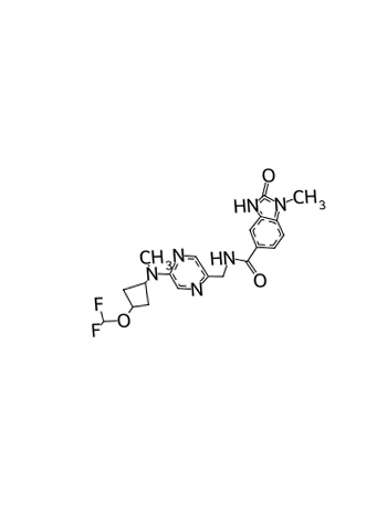 CN(c1cnc(CNC(=O)c2ccc3c(c2)[nH]c(=O)n3C)cn1)C1CC(OC(F)F)C1